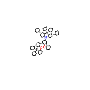 c1ccc(-c2ccc3c(c2)C(c2ccccc2)(c2ccccc2)c2cc(-c4ccccc4)ccc2N3c2cc(-c3cccc4c3Oc3ccccc3[Si]4(c3ccccc3)c3ccccc3)c3oc4ccccc4c3c2)cc1